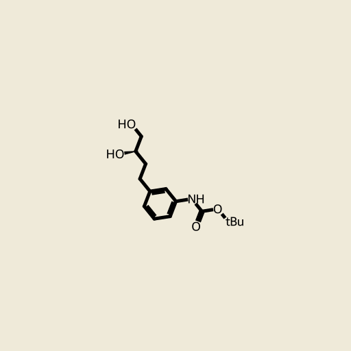 CC(C)(C)OC(=O)Nc1cccc(CC[C@@H](O)CO)c1